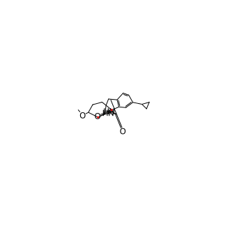 COC1CCC2(CC1)Cc1ccc(C3CC3)cc1C21NC(=O)NC1=O